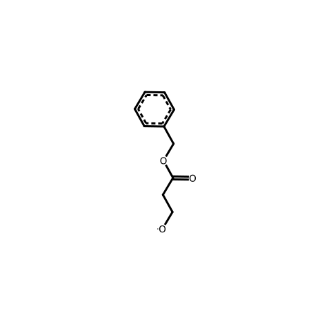 [O]CCC(=O)OCc1ccccc1